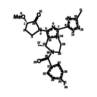 CO[C@H]1CCN(c2nc(-c3nc(C)ns3)n3c2[C@@H](C)N(C(=O)c2ccc(F)cc2)CC3)C1=O